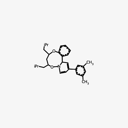 Cc1cc(C)cc(C2=CC3c4ccccc4OC(CC(C)C)CC(CC(C)C)ON3C=C2)c1